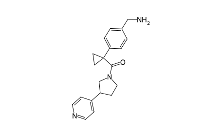 NCc1ccc(C2(C(=O)N3CCC(c4ccncc4)C3)CC2)cc1